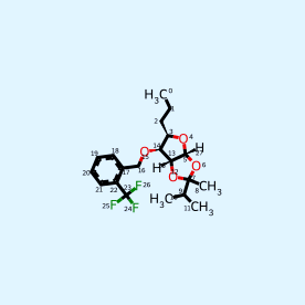 CCC[C@H]1O[C@@H]2OC(C)(C(C)C)O[C@@H]2[C@H]1OCc1ccccc1C(F)(F)F